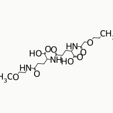 CCCOCC(=O)NC(CCC(=O)NC(CCC(=O)NCCOC)C(=O)O)C(=O)O